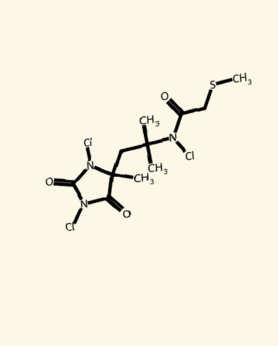 CSCC(=O)N(Cl)C(C)(C)CC1(C)C(=O)N(Cl)C(=O)N1Cl